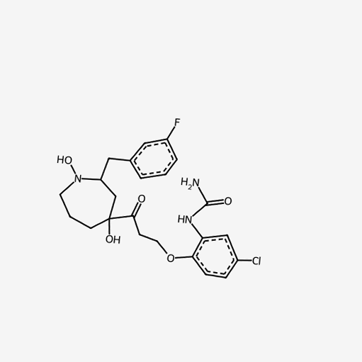 NC(=O)Nc1cc(Cl)ccc1OCCC(=O)C1(O)CCCN(O)C(Cc2cccc(F)c2)C1